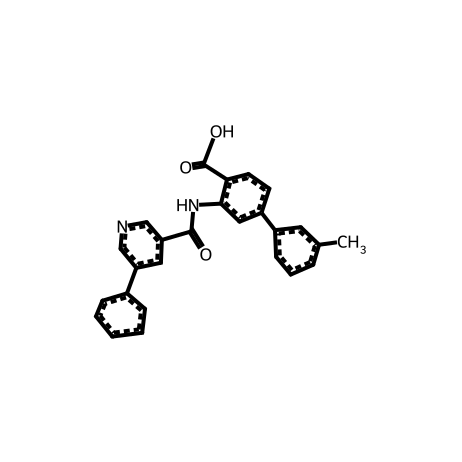 Cc1cccc(-c2ccc(C(=O)O)c(NC(=O)c3cncc(-c4ccccc4)c3)c2)c1